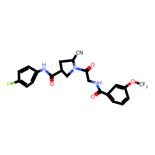 N#CC1CC(C(=O)Nc2ccc(F)cc2)CN1C(=O)CNC(=O)c1cccc(OC(F)(F)F)c1